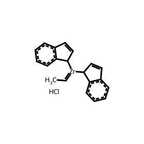 C[CH]=[Zr]([CH]1C=Cc2ccccc21)[CH]1C=Cc2ccccc21.Cl